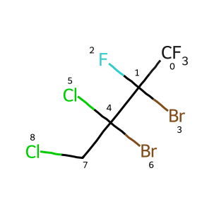 FC(F)(F)C(F)(Br)C(Cl)(Br)CCl